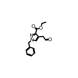 CCOC(=O)c1nn(Cc2ccccc2)cc1CC=O